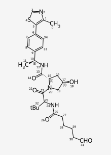 Cc1ncsc1-c1ccc([C@H](C)NC(=O)[C@@H]2C[C@@H](O)CN2C(=O)C(NC(=O)CCCCC=O)C(C)(C)C)cc1